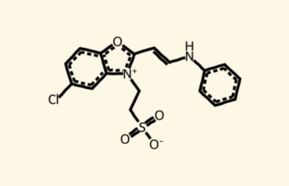 O=S(=O)([O-])CC[n+]1c(C=CNc2ccccc2)oc2ccc(Cl)cc21